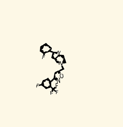 Fc1ccc(-c2cc(Cn3ccc4nc(-c5ccccc5F)cc-4c3)on2)c(C(F)(F)F)c1